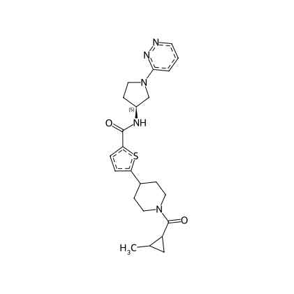 CC1CC1C(=O)N1CCC(c2ccc(C(=O)N[C@H]3CCN(c4cccnn4)C3)s2)CC1